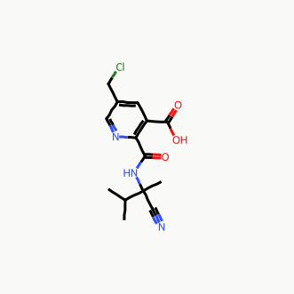 CC(C)C(C)(C#N)NC(=O)c1ncc(CCl)cc1C(=O)O